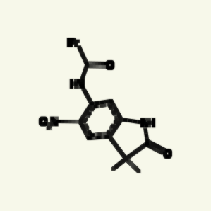 CC(C)C(=O)Nc1cc2c(cc1[N+](=O)[O-])C(C)(C)C(=O)N2